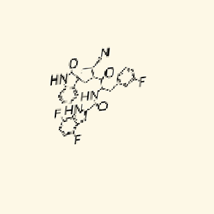 N#C[C@@H]1C[C@@]2(CC1C(=O)C(Cc1cccc(F)c1)NC(=O)c1cc3c(F)ccc(F)c3[nH]1)C(=O)Nc1ccccc12